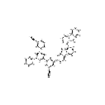 N#Cc1cccc(-c2nc(-c3ccccc3)nc(-c3cc(C#N)cc(-c4ccc5c(c4)oc4c(-c6cccc7c6oc6ccccc67)cccc45)c3)n2)c1